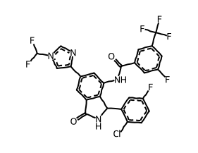 O=C(Nc1cc(-c2cn(C(F)F)cn2)cc2c1C(c1cc(F)ccc1Cl)NC2=O)c1cc(F)cc(C(F)(F)F)c1